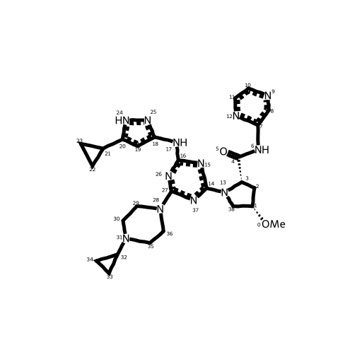 CO[C@H]1C[C@@H](C(=O)Nc2cnccn2)N(c2nc(Nc3cc(C4CC4)[nH]n3)nc(N3CCN(C4CC4)CC3)n2)C1